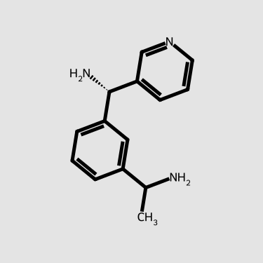 CC(N)c1cccc([C@H](N)c2cccnc2)c1